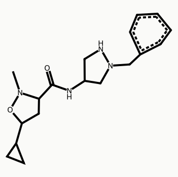 CN1OC(C2CC2)CC1C(=O)NC1CNN(Cc2ccccc2)C1